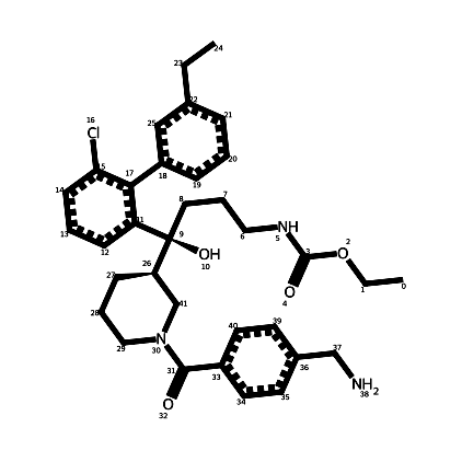 CCOC(=O)NCCC[C@@](O)(c1cccc(Cl)c1-c1cccc(CC)c1)[C@@H]1CCCN(C(=O)c2ccc(CN)cc2)C1